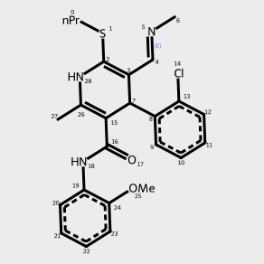 CCCSC1=C(/C=N/C)C(c2ccccc2Cl)C(C(=O)Nc2ccccc2OC)=C(C)N1